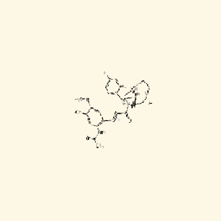 COc1cc(/C=C/C(=O)N2C[C@H]3CC[C@@H](C2)[C@@H]3Nc2ccc(F)cc2)c(NC(C)=O)cc1Cl